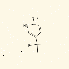 CC1C=CC(C(F)(F)F)=CN1